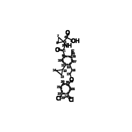 O=C(NC1(C(=O)O)CC1)c1cc(C2CC2)c(CCOc2ccc(Cl)c(Cl)c2)cc1F